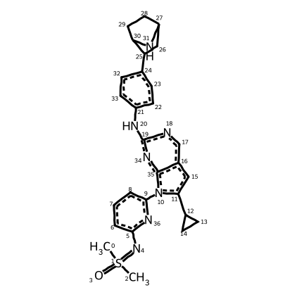 CS(C)(=O)=Nc1cccc(-n2c(C3CC3)cc3cnc(Nc4ccc(C5CC6CCC5N6)cc4)nc32)n1